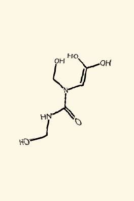 O=C(NCO)N(C=C(O)O)CO